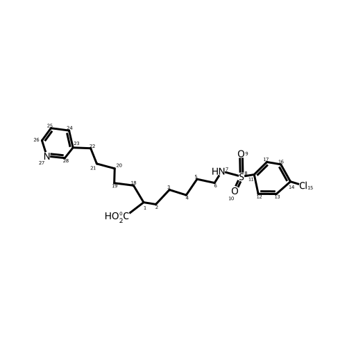 O=C(O)C(CCCCCNS(=O)(=O)c1ccc(Cl)cc1)CCCCCc1cccnc1